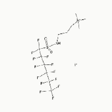 C[N+](C)(C)CCCNS(=O)(=O)C(F)(F)C(F)(F)C(F)(F)C(F)(F)C(F)(F)C(F)(F)F.[I-]